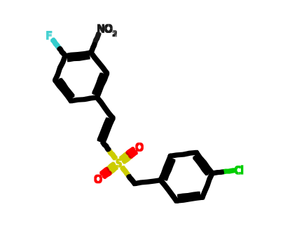 O=[N+]([O-])c1cc(/C=C/S(=O)(=O)Cc2ccc(Cl)cc2)ccc1F